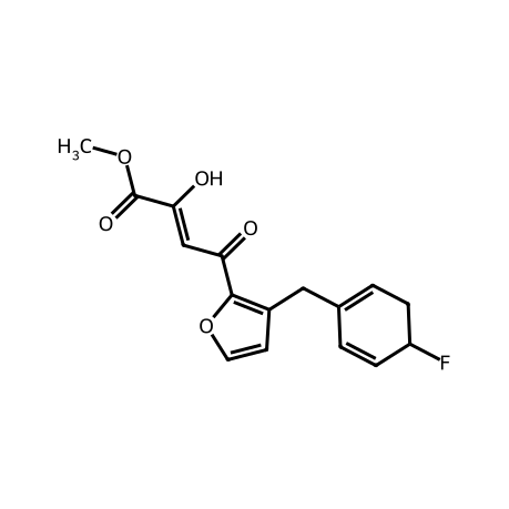 COC(=O)/C(O)=C/C(=O)c1occc1CC1=CCC(F)C=C1